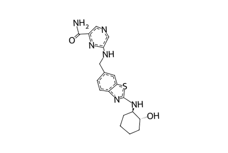 NC(=O)c1cncc(NCc2ccc3nc(N[C@@H]4CCCC[C@H]4O)sc3c2)n1